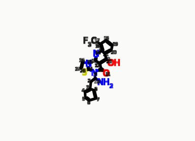 NC(Cc1ccccc1)N(C(=O)c1cnc2c(C(F)(F)F)cccc2c1O)c1nccs1